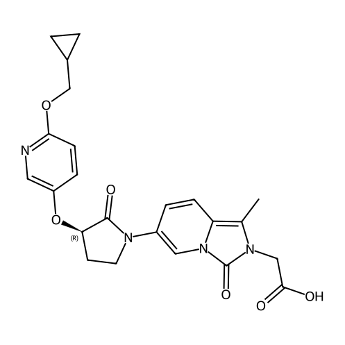 Cc1c2ccc(N3CC[C@@H](Oc4ccc(OCC5CC5)nc4)C3=O)cn2c(=O)n1CC(=O)O